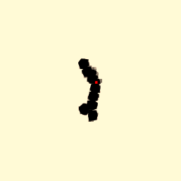 C=C(c1ccc(-c2ccc(-c3ccc4c(c3)c3ccccc3n4-c3ccccc3)cc2)cc1)C1C=CC2=C(C1)C(C)(C)c1cc(-c3ccccc3)ccc12